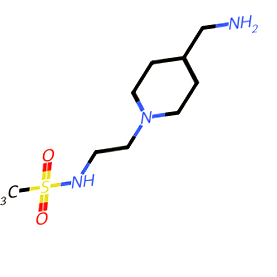 CS(=O)(=O)NCCN1CCC(CN)CC1